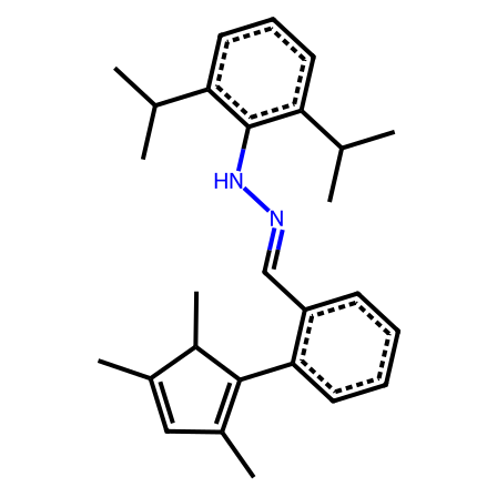 CC1=CC(C)=C(c2ccccc2/C=N/Nc2c(C(C)C)cccc2C(C)C)C1C